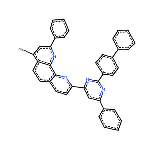 CC(C)c1cc(-c2ccccc2)nc2c1ccc1ccc(-c3cc(-c4ccccc4)nc(-c4ccc(-c5ccccc5)cc4)n3)nc12